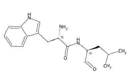 CC(C)C[C@@H]([C]=O)NC(=O)[C@@H](N)Cc1c[nH]c2ccccc12